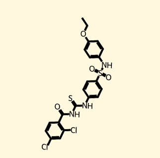 CCOc1ccc(NS(=O)(=O)c2ccc(NC(=S)NC(=O)c3ccc(Cl)cc3Cl)cc2)cc1